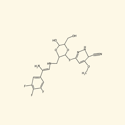 COC1=CC(SC2OC(CO)C(O)OC2CN/C=C(\N)c2cc(F)c(F)c(F)c2)=NNC1C#N